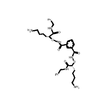 CC(C)CNC(=O)[C@@H](CCCCN)ONC(=O)c1cccc(C(=O)NO[C@H](CCCCN)C(=O)NCC(C)C)c1